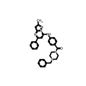 Cc1cc2nc(-c3ccccc3)cc(Nc3ccc(C(=O)N4CCN(Cc5ccccc5)CC4)cc3)n2n1